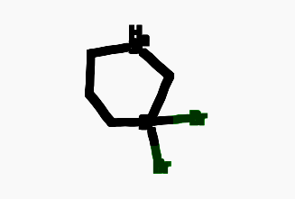 Br[Si]1(Br)CCC[SiH2]C1